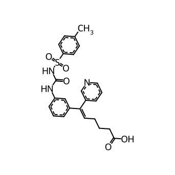 Cc1ccc(S(=O)(=O)NC(=O)Nc2cccc(C(=CCCCC(=O)O)c3cccnc3)c2)cc1